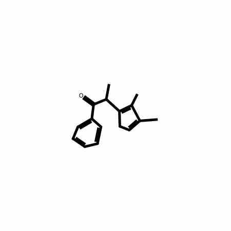 CC1=CCC(C(C)C(=O)c2ccccc2)=C1C